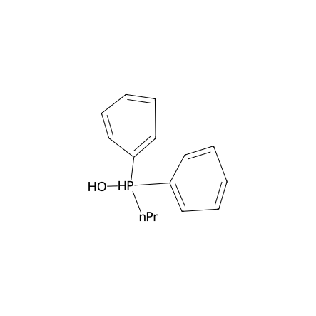 CCC[PH](O)(c1ccccc1)c1ccccc1